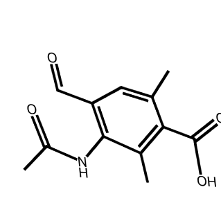 CC(=O)Nc1c(C=O)cc(C)c(C(=O)O)c1C